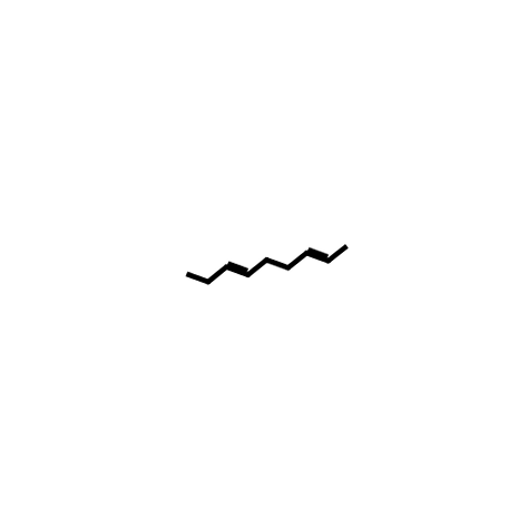 C/C=C/CCC=CCC